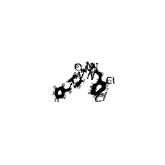 O=C(N1CCN(Cc2ccccc2)CC1)n1nnc(Cc2ccc(Cl)cc2Cl)n1